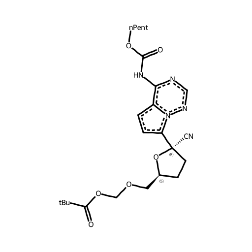 CCCCCOC(=O)Nc1ncnn2c([C@@]3(C#N)CC[C@@H](COCOC(=O)C(C)(C)C)O3)ccc12